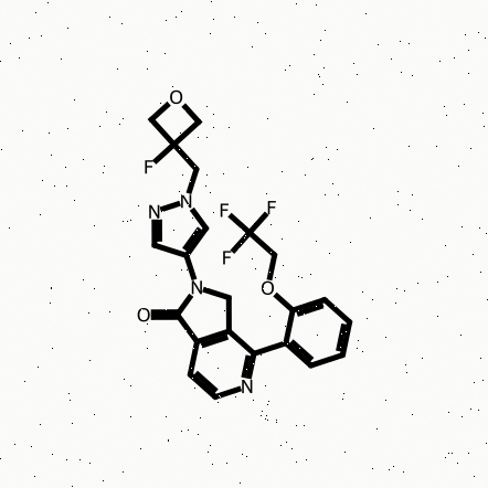 O=C1c2ccnc(-c3ccccc3OCC(F)(F)F)c2CN1c1cnn(CC2(F)COC2)c1